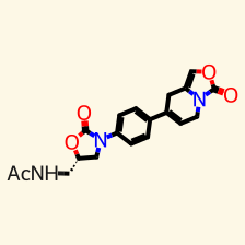 CC(=O)NC[C@H]1CN(c2ccc(C3=CCn4c(coc4=O)C3)cc2)C(=O)O1